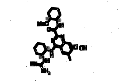 CO[C@H]1CCCC[C@@H]1NC(=O)c1nc(N[C@H]2CCCC[C@H]2NC(=N)N)c2cc(C)ccc2n1.Cl.Cl